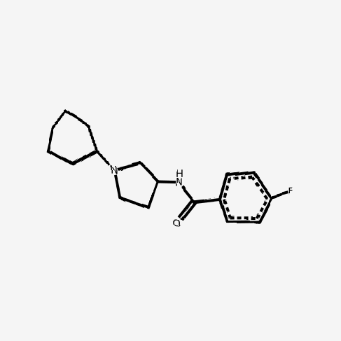 O=C(NC1CCN(C2CCCCC2)C1)c1ccc(F)cc1